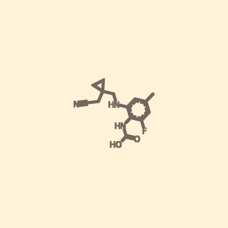 Cc1cc(F)c(NC(=O)O)c(NCC2(CC#N)CC2)c1